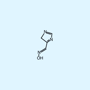 ON=CC1=NC=NC1